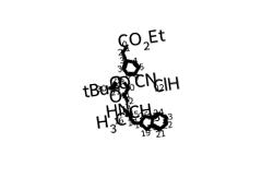 CCOC(=O)CCc1ccc(C#N)c(OCC(CNC(C)(C)CC2Cc3ccccc3C2)OC(=O)C(C)(C)C)c1.Cl